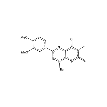 CCC(C)n1nc(-c2ccc(OC)c(OC)c2)nc2c(=O)n(C)c(=O)nc1-2